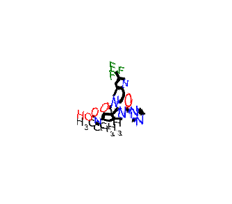 CC(C)(C)N(C(=O)O)[C@@H]1C[C@H]2CN(C(=O)n3ccnc3)C[C@@]2(C(=O)N2CCc3ncc(C(F)(F)F)cc3C2)C1